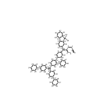 C#C/C=C\C(=C/C)N(c1ccc(-c2ccc(N(c3ccc(-c4ccccc4)cc3)c3ccc(-c4ccccc4)cc3)cc2-c2ccccc2)cc1)c1ccc2c(c1)C(C)(C)c1ccccc1-2